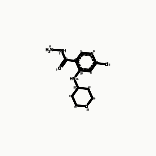 NNC(=O)c1cnc(Cl)cc1NC1CCOCC1